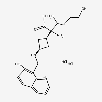 BC(CCCO)C(N)(C(=O)O)[C@H]1C[C@@H](NCc2c(O)ccc3cccnc23)C1.Cl.Cl